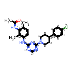 CC(=O)Nc1c(C)ccc(Nc2ncnc(N3CCC(c4ccc(Cl)cc4)CC3)n2)c1C